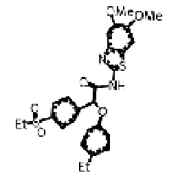 CCc1ccc(OC(C(=O)Nc2nc3cc(OC)c(OC)cc3s2)c2ccc(S(=O)(=O)CC)cc2)cc1